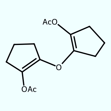 CC(=O)OC1=C(OC2=C(OC(C)=O)CCC2)CCC1